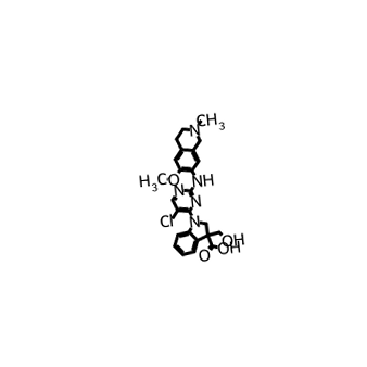 COc1cc2c(cc1Nc1ncc(Cl)c(N3CC(CO)(C(=O)O)c4ccccc43)n1)CN(C)CC2